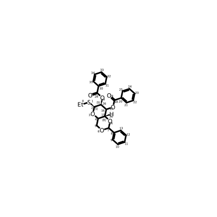 CCS[C@@H]1OC2COC(c3ccccc3)O[C@H]2C(OC(=O)c2ccccc2)[C@@H]1OC(=O)c1ccccc1